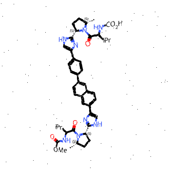 COC(=O)NC(C(=O)N1[C@@H](C)CC[C@H]1c1nc(-c2ccc3cc(-c4ccc(-c5c[nH]c([C@@H]6CC[C@H](C)N6C(=O)C(NC(=O)O)C(C)C)n5)cc4)ccc3c2)c[nH]1)C(C)C